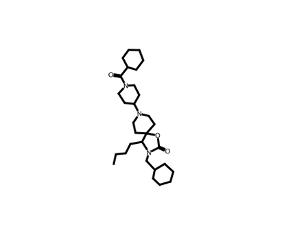 CCCCC1N(CC2CCCCC2)C(=O)OC12CCN(C1CCN(C(=O)C3CCCCC3)CC1)CC2